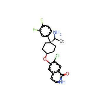 CCC(N)[C@]1(c2ccc(F)c(F)c2)CC[C@H](Oc2cc3cc[nH]c(=O)c3cc2Cl)CC1